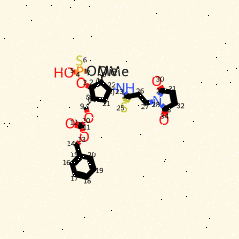 CO[C@H]1C(OP(O)(=S)OC)[C@@H](COC(=O)OCc2ccccc2)C[C@H]1NC(=S)CCN1C(=O)C=CC1=O